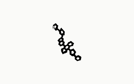 C1=CC2C(C3=CC=C(C4CCCCC4)CC3)=c3ccccc3=C(C3=Cc4cc(C5=CCCC(c6cccnc6)=C5)ccc4CC3)C2C=C1